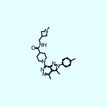 Cc1ccc(-n2nc3c(N4CCC(C(=O)NCC5CN(C)C5)CC4)nnc(C)c3c2C)cc1